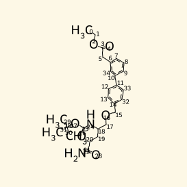 CCOC(=O)Cc1cccc(-c2ccc(COCC(CCC(N)=O)NC(=O)OC(C)(C)C)cc2)c1